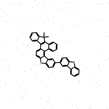 CC1(C)c2ccccc2-c2c1c1ccccc1c1c2ccc2sc3ccc(-c4ccc5sc6ccccc6c5c4)cc3c21